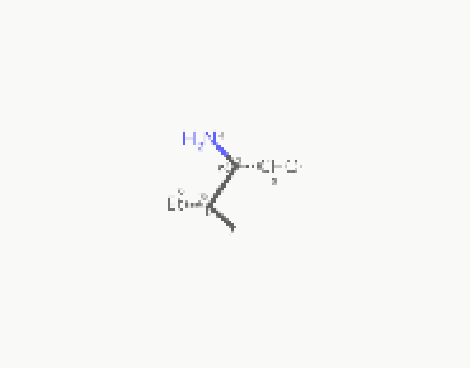 CC[C@@H](C)[C@H](N)[C]=O